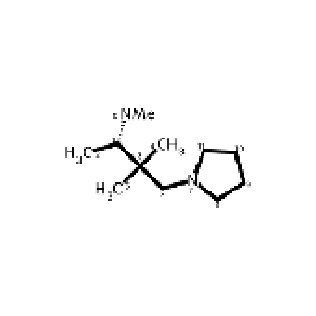 CN[C@@H](C)C(C)(C)CN1CCCC1